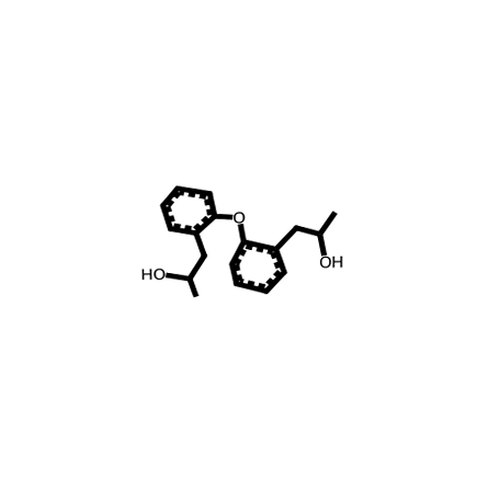 CC(O)Cc1ccccc1Oc1ccccc1CC(C)O